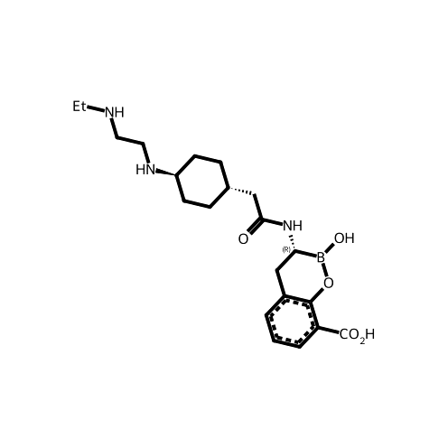 CCNCCN[C@H]1CC[C@H](CC(=O)N[C@H]2Cc3cccc(C(=O)O)c3OB2O)CC1